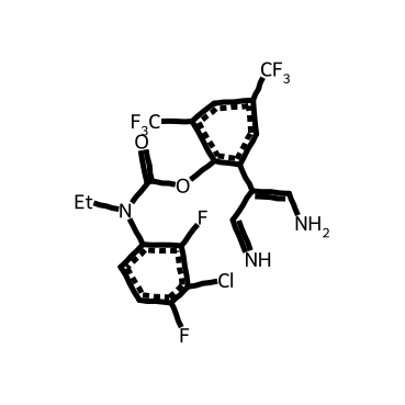 CCN(C(=O)Oc1c(/C(C=N)=C/N)cc(C(F)(F)F)cc1C(F)(F)F)c1ccc(F)c(Cl)c1F